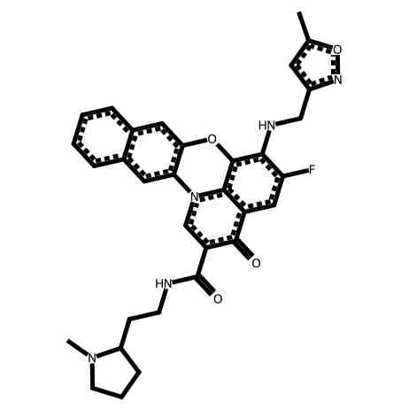 Cc1cc(CNc2c(F)cc3c(=O)c(C(=O)NCCC4CCCN4C)cn4c3c2Oc2cc3ccccc3cc2-4)no1